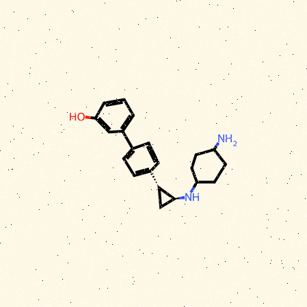 NC1CCC(N[C@H]2C[C@@H]2c2ccc(-c3cccc(O)c3)cc2)CC1